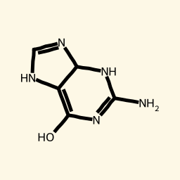 NC1=NC(O)=C2NC=NC2N1